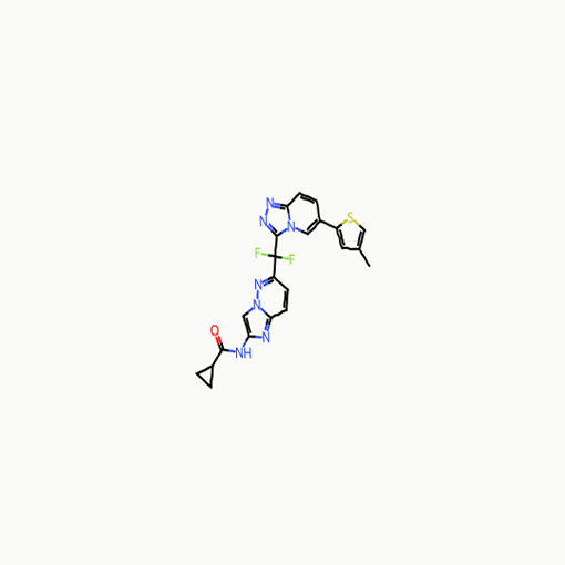 Cc1csc(-c2ccc3nnc(C(F)(F)c4ccc5nc(NC(=O)C6CC6)cn5n4)n3c2)c1